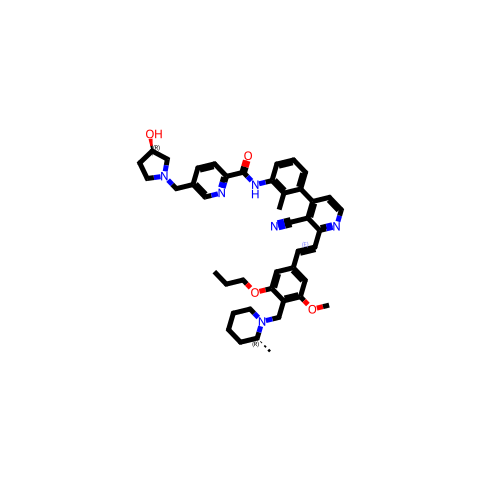 CCCOc1cc(/C=C/c2nccc(-c3cccc(NC(=O)c4ccc(CN5CC[C@@H](O)C5)cn4)c3C)c2C#N)cc(OC)c1CN1CCCC[C@H]1C